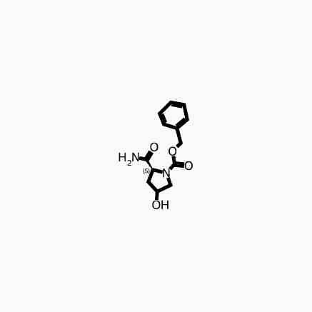 NC(=O)[C@@H]1CC(O)CN1C(=O)OCc1ccccc1